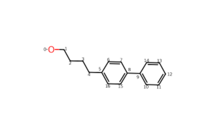 [O]CCCCc1ccc(-c2ccccc2)cc1